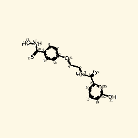 O=C(NCCOc1ccc(C(=S)NO)cc1)c1cccc(O)n1